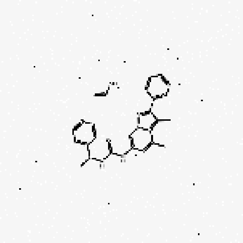 Cc1cc(NC(=O)NC(C)c2ccncc2)cn2nc(-c3ccccc3)c(C)c12.NC=O